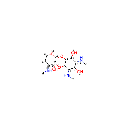 CNC1C(O)C(NC)[C@H](O)C2OC3OCCC(NC)C3(O)OC12